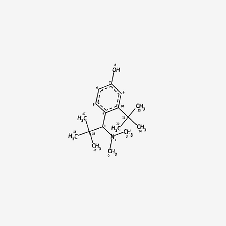 CN(C)C(c1ccc(O)cc1C(C)(C)C)C(C)(C)C